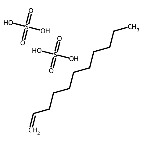 C=CCCCCCCCCC.O=S(=O)(O)O.O=S(=O)(O)O